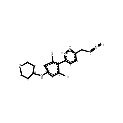 [N-]=[N+]=NCc1ccc(-c2c(F)cc(OC3CCOCC3)cc2F)nn1